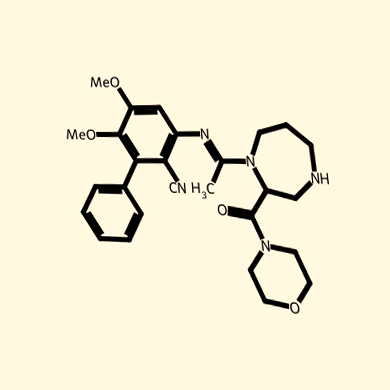 COc1cc(/N=C(\C)N2CCCNCC2C(=O)N2CCOCC2)c(C#N)c(-c2ccccc2)c1OC